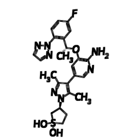 Cc1nn([C@H]2CCS(O)(O)C2)c(C)c1-c1cnc(N)c(O[C@H](C)c2cc(F)ccc2-n2nccn2)c1